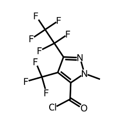 Cn1nc(C(F)(F)C(F)(F)F)c(C(F)(F)F)c1C(=O)Cl